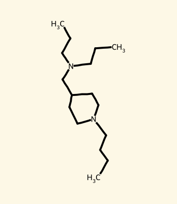 CCCCN1CCC(CN(CCC)CCC)CC1